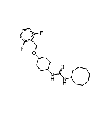 O=C(NC1CCCCCCC1)NC1CCC(OCc2c(F)cccc2F)CC1